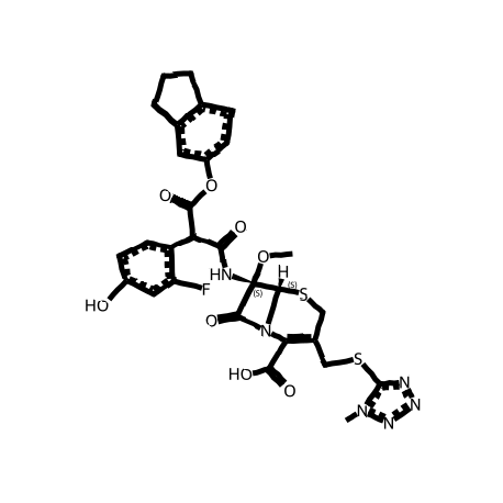 CO[C@@]1(NC(=O)C(C(=O)Oc2ccc3c(c2)CCC3)c2ccc(O)cc2F)C(=O)N2C(C(=O)O)=C(CSc3nnnn3C)CS[C@H]21